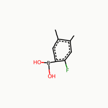 Cc1cc(F)c(B(O)O)cc1C